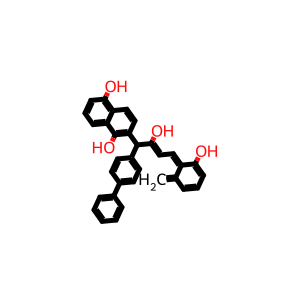 C=c1cccc(O)/c1=C/C=C(\O)C(c1ccc(-c2ccccc2)cc1)c1ccc2c(O)cccc2c1O